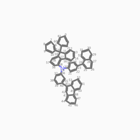 c1ccc(C2(c3ccccc3)c3ccccc3-c3c(N(c4ccc(-c5cccc6ccccc56)cc4)c4cccc(-c5cc6ccccc6c6ccccc56)c4)cccc32)cc1